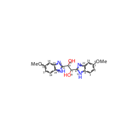 COc1ccc2[nH]c(C(O)C(O)c3nc4cc(OC)ccc4[nH]3)nc2c1